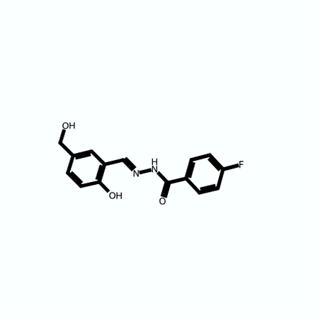 O=C(NN=Cc1cc(CO)ccc1O)c1ccc(F)cc1